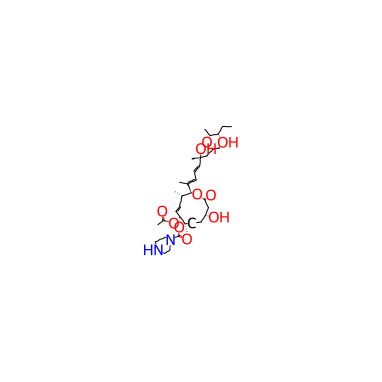 CC[C@H](O)C(C)O[C@@H](C)C[C@@](C)(O)/C=C/C=C(\C)[C@H]1OC(=O)C[C@H](O)CC[C@@](C)(OC(=O)N2CCNCC2)[C@@H](OC(C)=O)/C=C/[C@@H]1C